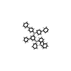 c1ccc(-c2ccc(N(c3ccc(-c4ccccc4)cc3)c3cc(-c4ccccc4)cc(N(c4ccccc4)c4cccc5c4oc4ccccc45)c3)cc2)cc1